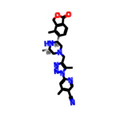 Cc1cc(-n2nnc(CN3C[C@@H](c4ccc5c(c4C)COC5=O)N[C@@H](C)C3)c2C)ncc1C#N